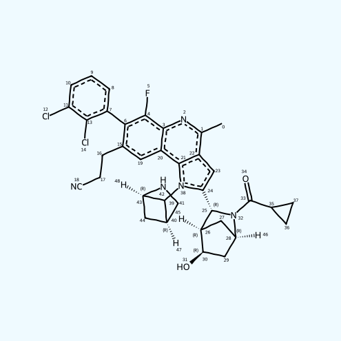 Cc1nc2c(F)c(-c3cccc(Cl)c3Cl)c(CCC#N)cc2c2c1cc([C@H]1[C@H]3C[C@H](C[C@H]3O)N1C(=O)C1CC1)n2C1[C@H]2CN[C@@H]1C2